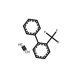 C#C.FC(F)(F)c1ccccc1-c1ccccc1